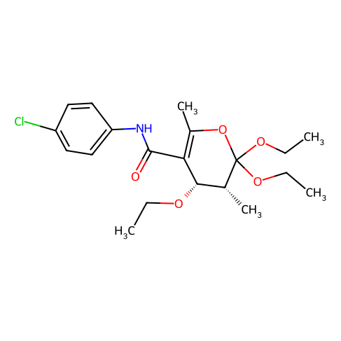 CCO[C@@H]1C(C(=O)Nc2ccc(Cl)cc2)=C(C)OC(OCC)(OCC)[C@@H]1C